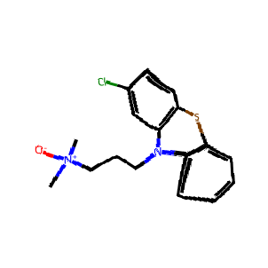 C[N+](C)([O-])CCCN1c2ccccc2Sc2ccc(Cl)cc21